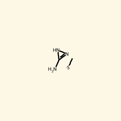 C[S].NC1=NN1